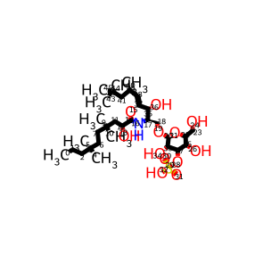 CCCC(C)(C)CCC(C)(C)CC(O)C(=O)N[C@H](COC1OC(CO)C(O)C(OS(=O)(=O)O)C1O)[C@H](O)/C=C/C(C)CC(C)(C)C